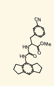 COC(=O)C(Cc1cccc(C#N)c1)NC(=O)Nc1c2c(cc3c1CCC3)CCC2